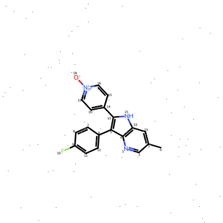 Cc1cnc2c(-c3ccc(F)cc3)c(-c3cc[n+]([O-])cc3)[nH]c2c1